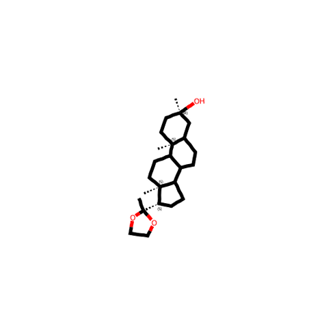 CC1([C@H]2CCC3C4CCC5C[C@](C)(O)CC[C@]5(C)C4CC[C@@]32C)OCCO1